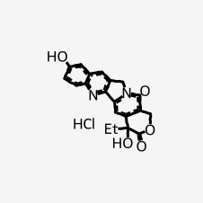 CCC1(O)C(=O)OCc2c1cc1n(c2=O)Cc2cc3cc(O)ccc3nc2-1.Cl